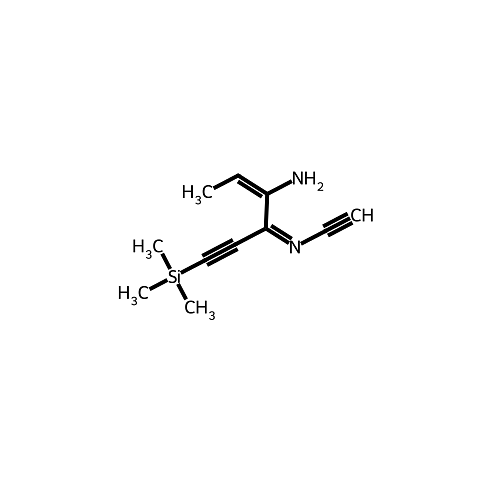 C#C/N=C(C#C[Si](C)(C)C)\C(N)=C/C